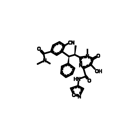 C[C@@H](c1nc(C(=O)Nc2cnoc2)c(O)c(=O)n1C)[C@H](c1ccccc1)c1cc(C(=O)N(C)C)ccc1C#N